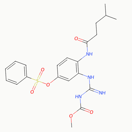 COC(=O)NC(=N)Nc1cc(OS(=O)(=O)c2ccccc2)ccc1NC(=O)CCC(C)C